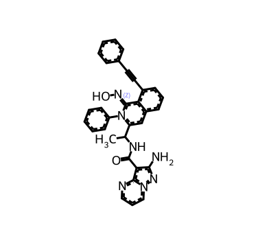 CC(NC(=O)c1c(N)nn2cccnc12)c1cc2cccc(C#Cc3ccccc3)c2/c(=N/O)n1-c1ccccc1